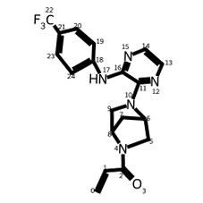 C=CC(=O)N1CC2CC1CN2c1nccnc1Nc1ccc(C(F)(F)F)cc1